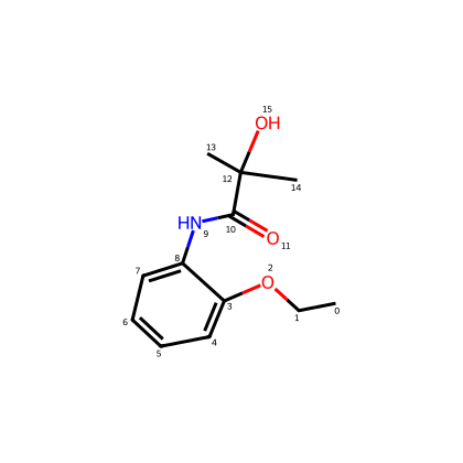 CCOc1ccccc1NC(=O)C(C)(C)O